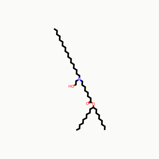 CCCCCCCCCCCCCCCCCCN(CCO)CCCCCCCC(=O)OC(CCCCCCCC)CCCCCCCCC